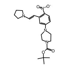 CC(C)(C)OC(=O)N1CCN(c2ccc([N+](=O)[O-])c(C=CN3CCCC3)c2)CC1